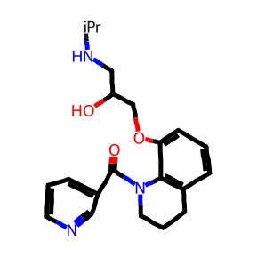 CC(C)NCC(O)COc1cccc2c1N(C(=O)c1cccnc1)CCC2